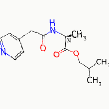 CC(C)COC(=O)[C@H](C)NC(=O)Cc1ccncc1